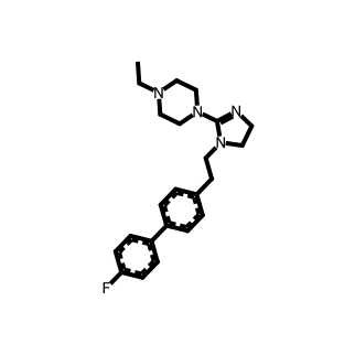 CCN1CCN(C2=NCCN2CCc2ccc(-c3ccc(F)cc3)cc2)CC1